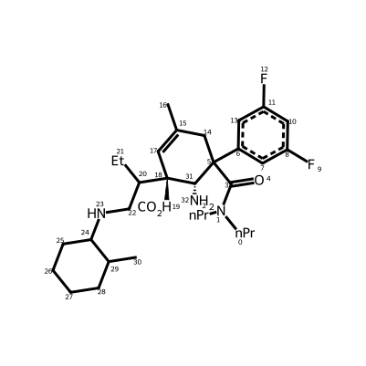 CCCN(CCC)C(=O)C1(c2cc(F)cc(F)c2)CC(C)=C[C@@](C(=O)O)(C(CC)CNC2CCCCC2C)[C@H]1N